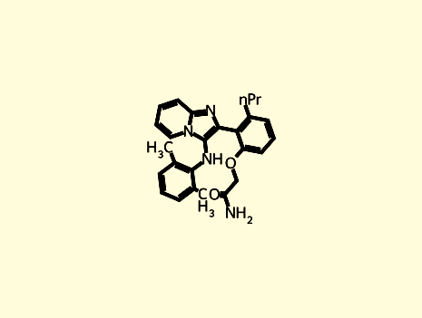 CCCc1cccc(OCC(N)=O)c1-c1nc2ccccn2c1Nc1c(C)cccc1C